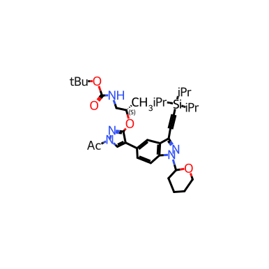 CC(=O)n1cc(-c2ccc3c(c2)c(C#C[Si](C(C)C)(C(C)C)C(C)C)nn3C2CCCCO2)c(O[C@@H](C)CNC(=O)OC(C)(C)C)n1